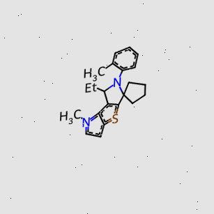 CCC1c2c(sc3ccn(C)c23)C2(CCCC2)N1c1ccccc1C